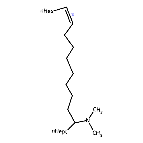 CCCCCC/C=C\CCCCCCCC(CCCCCCC)N(C)C